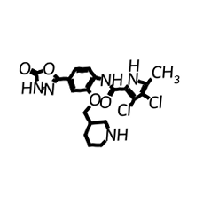 Cc1[nH]c(C(=O)Nc2ccc(-c3n[nH]c(=O)o3)cc2OCC2CCCNC2)c(Cl)c1Cl